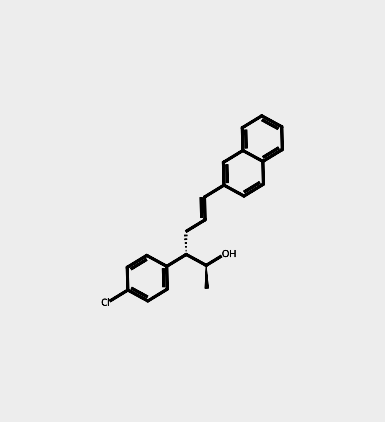 C[C@H](O)[C@@H](C/C=C/c1ccc2ccccc2c1)c1ccc(Cl)cc1